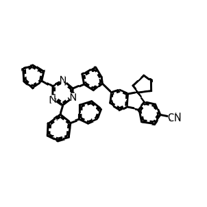 N#Cc1ccc2c(c1)C1(CCCC1)c1cc(-c3cccc(-c4nc(-c5ccccc5)nc(-c5ccccc5-c5ccccc5)n4)c3)ccc1-2